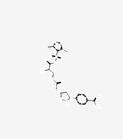 Cc1noc(C)c1S(=O)(=O)OC(=O)C(N)CNC(=O)C[C@H]1C[C@@H](c2ccc(C(=N)N)cc2)NO1